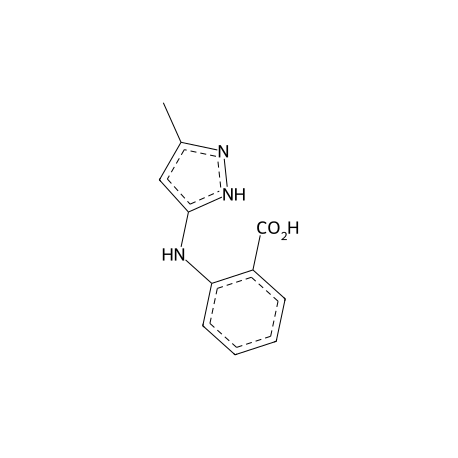 Cc1cc(Nc2ccccc2C(=O)O)[nH]n1